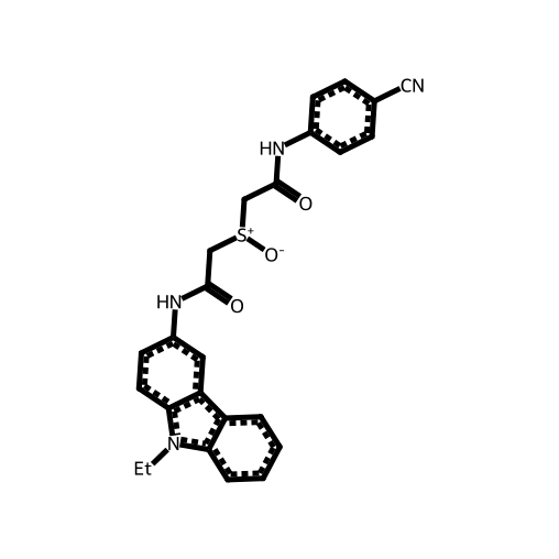 CCn1c2ccccc2c2cc(NC(=O)C[S+]([O-])CC(=O)Nc3ccc(C#N)cc3)ccc21